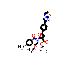 CCOC(=O)c1cc(-c2ccc(-c3cn4ccsc4n3)cc2)oc1N(CCOC)C(=O)[C@H]1CC[C@H](C)CC1